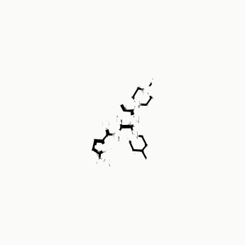 C=C/C(=N\C(=C(/N)N(C)C(=O)c1ccc(C#N)o1)N1CCC(C)CC1)N1CCN(C)CC1